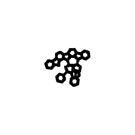 c1ccc(-c2ccc(-n3c4ccccc4c4ccc5c6ccc7c8ccccc8oc7c6n(-c6nc(-c7ccccc7)c7ccccc7n6)c5c43)cc2)cc1